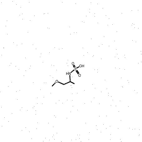 COCC(C)NS(=O)(=O)O